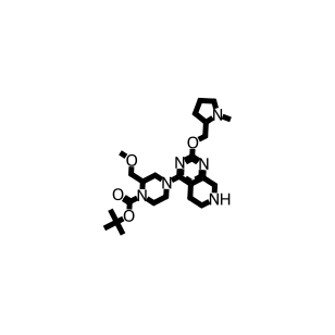 COCC1CN(c2nc(OCC3CCCN3C)nc3c2CCNC3)CCN1C(=O)OC(C)(C)C